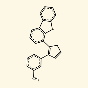 Cc1cccc(C2=C(c3cccc4c3[CH]c3ccccc3-4)CC=C2)c1